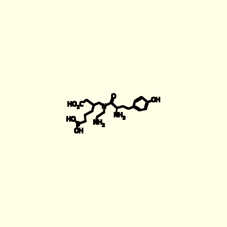 NCCN(CC(CCCB(O)O)CC(=O)O)C(=O)[C@@H](N)CCc1ccc(O)cc1